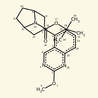 COc1ncc2c(N3CC4CCC(C3)N4C(=O)OC(C)(C)C)cccc2n1